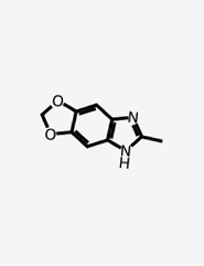 Cc1nc2cc3c(cc2[nH]1)OCO3